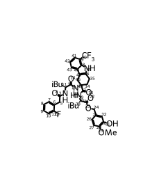 CCC(C)[C@H](NC(=O)Cc1ccccc1F)C(=O)N[C@]1(C(=O)N[C@H](C(=O)OCc2ccc(OC)c(O)c2)C(C)CC)CCc2[nH]c3c(C(F)(F)F)cccc3c2C1